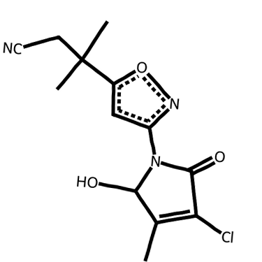 CC1=C(Cl)C(=O)N(c2cc(C(C)(C)CC#N)on2)C1O